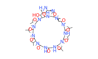 CC[C@H]1NC(=O)C([C@@H](O)[C@@H](C)CC(N)C#N)N(C)C(=O)[C@@H](C(C)C)N(C)C(=O)[C@@H](CC(C)C)N(C)C(=O)C(C(C)C)N(C)C(=O)[C@@H](C)NC(=O)[C@@H](C)NC(=O)[C@@H](CC(C)C)N(C)C(=O)[C@@H](C(C)C)NC(=O)[C@@H](CC(C)C)N(C)C(=O)CN(C)C1=O